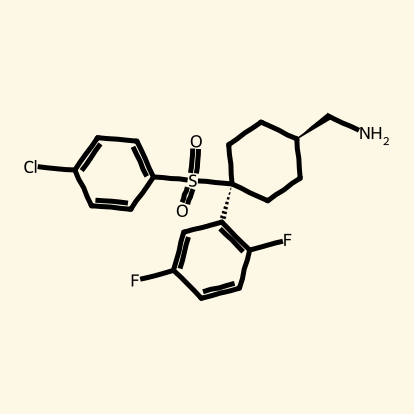 NC[C@H]1CC[C@@](c2cc(F)ccc2F)(S(=O)(=O)c2ccc(Cl)cc2)CC1